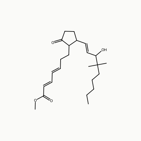 CCCCCC(C)(C)C(O)/C=C/C1CCC(=O)C1CCC=C/C=C/C(=O)OC